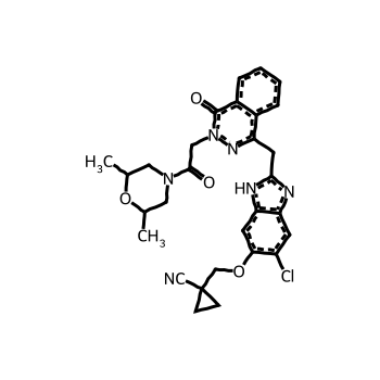 CC1CN(C(=O)Cn2nc(Cc3nc4cc(Cl)c(OCC5(C#N)CC5)cc4[nH]3)c3ccccc3c2=O)CC(C)O1